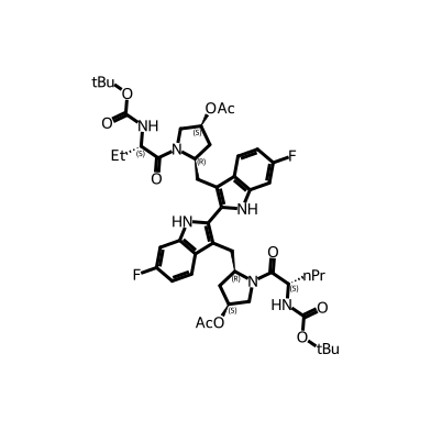 CCC[C@H](NC(=O)OC(C)(C)C)C(=O)N1C[C@@H](OC(C)=O)C[C@H]1Cc1c(-c2[nH]c3cc(F)ccc3c2C[C@@H]2C[C@H](OC(C)=O)CN2C(=O)[C@H](CC)NC(=O)OC(C)(C)C)[nH]c2cc(F)ccc12